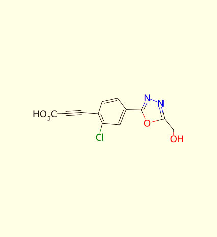 O=C(O)C#Cc1ccc(-c2nnc(CO)o2)cc1Cl